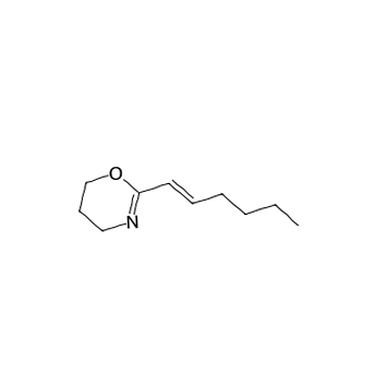 CCCCC=CC1=NCCCO1